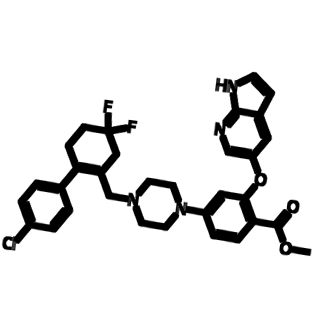 COC(=O)c1ccc(N2CCN(CC3=C(c4ccc(Cl)cc4)CCC(F)(F)C3)CC2)cc1Oc1cnc2[nH]ccc2c1